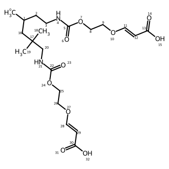 CC(CCNC(=O)OCCOC=CC(=O)O)CC(C)(C)CNC(=O)OCCOC=CC(=O)O